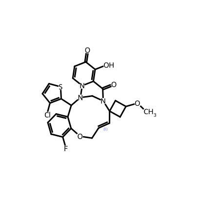 COC1CC2(/C=C/COc3c(F)cccc3C(c3sccc3Cl)N3CN2C(=O)c2c(O)c(=O)ccn23)C1